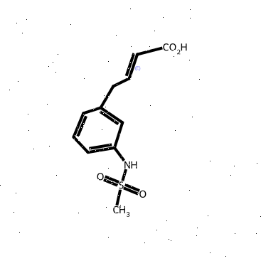 CS(=O)(=O)Nc1cccc(C/C=C/C(=O)O)c1